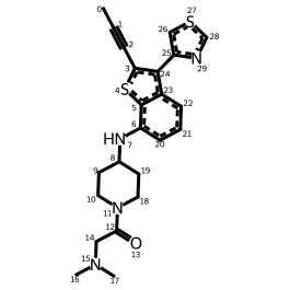 CC#Cc1sc2c(NC3CCN(C(=O)CN(C)C)CC3)cccc2c1-c1cscn1